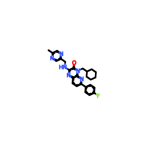 Cc1cnc(CNc2nc3ccc(-c4ccc(F)cc4)nc3n(CC3CCCCC3)c2=O)cn1